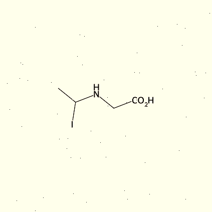 CC(I)NCC(=O)O